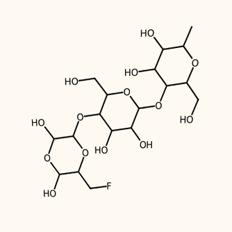 CC1OC(CO)C(OC2OC(CO)C(OC3OC(CF)C(O)OC3O)C(O)C2O)C(O)C1O